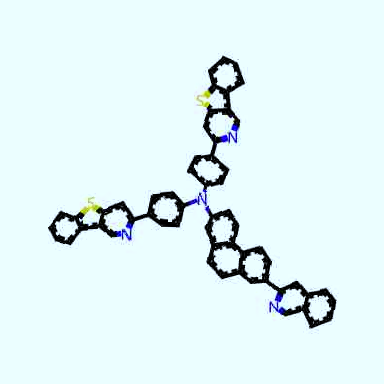 c1ccc2cc(-c3ccc4c(ccc5cc(N(c6ccc(-c7cc8sc9ccccc9c8cn7)cc6)c6ccc(-c7cc8sc9ccccc9c8cn7)cc6)ccc54)c3)ncc2c1